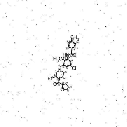 CC[C@H]1CN(Cc2cc(Cl)cc(NC(=O)c3ccc(C)nc3)c2C)CCN1C(=O)[C@H]1CCCO1